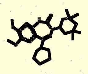 COc1cc2c(cc1OC)C(C1CCCCC1)=NN(C1CC(C)(C)CC(C)(C)C1)C(=O)N2